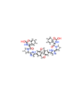 O=C(O)N[C@@H](C(=O)N1CCC[C@H]1c1ncc(-c2cc3c4c(c2)OCc2cc(-c5cnc([C@@H]6CCCN6C(=O)[C@H](NC(=O)O)c6ccccc6)[nH]5)cc(c2-4)OC3)[nH]1)c1ccccc1